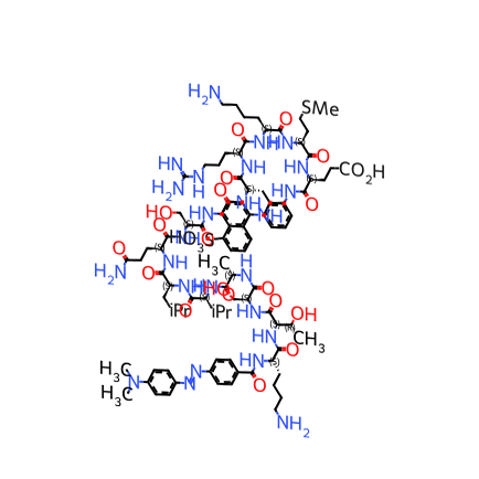 CSCC[C@H](NC(=O)[C@H](CCCCN)NC(=O)[C@H](CCCNC(=N)N)NC(=O)[C@H](Cc1ccccc1)NC(=O)CNC(=O)[C@H](CO)NC(=O)[C@H](CCC(N)=O)NC(=O)[C@H](CC(C)C)NC(=O)[C@@H](NC(=O)[C@H](C)NC(=O)[C@H](CO)NC(=O)[C@@H](NC(=O)[C@H](CCCCN)NC(=O)c1ccc(N=Nc2ccc(N(C)C)cc2)cc1)[C@@H](C)O)C(C)C)C(=O)N[C@@H](CCC(=O)O)C(=O)NCCNc1cccc2c(S(=O)(=O)O)cccc12